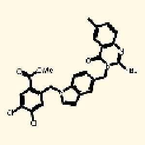 CCCCc1nc2ccc(C)cc2c(=O)n1Cc1ccc2c(ccn2Cc2cc(Cl)c(Cl)cc2C(=O)OC)c1